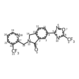 O=C1c2cc(-c3noc(C(F)(F)F)n3)ccc2CN1Cc1ncccc1C(F)(F)F